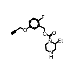 C#CCOc1ccc(F)c(COC(=O)N2CCNCC2CC)c1